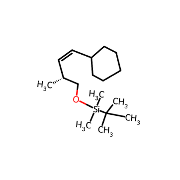 C[C@H](/C=C\C1CCCCC1)CO[Si](C)(C)C(C)(C)C